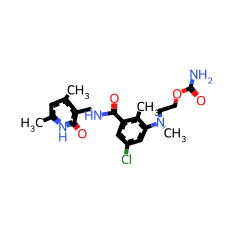 Cc1cc(C)c(CNC(=O)c2cc(Cl)cc(N(C)CCOC(N)=O)c2C)c(=O)[nH]1